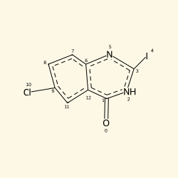 O=c1[nH]c(I)nc2ccc(Cl)cc12